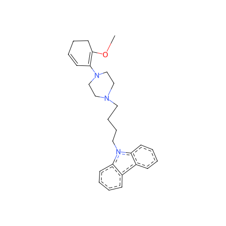 COC1=C(N2CCN(CCCCn3c4ccccc4c4ccccc43)CC2)C=CCC1